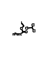 CCCCCC(=O)OCI.ClC(Cl)Cl